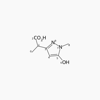 CC(C(=O)O)c1cc(O)n(C)n1